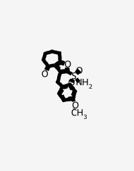 COc1ccc(Cc2c(S(N)(=O)=O)oc3c2C(=O)CCCC3)cc1